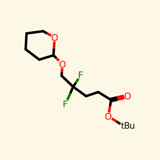 CC(C)(C)OC(=O)CCC(F)(F)COC1CCCCO1